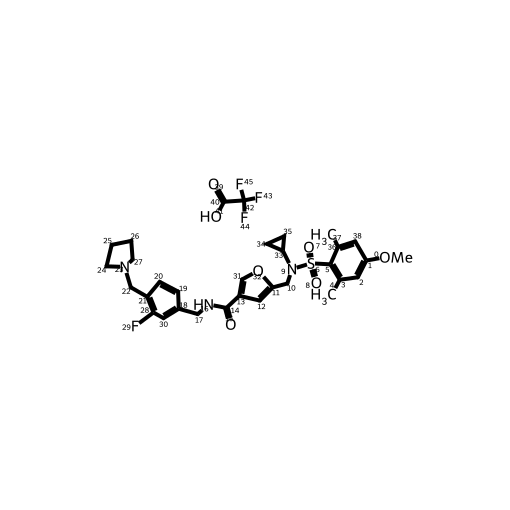 COc1cc(C)c(S(=O)(=O)N(Cc2cc(C(=O)NCc3ccc(CN4CCCC4)c(F)c3)co2)C2CC2)c(C)c1.O=C(O)C(F)(F)F